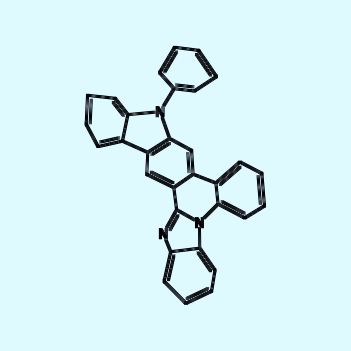 c1ccc(-n2c3ccccc3c3cc4c(cc32)c2ccccc2n2c3ccccc3nc42)cc1